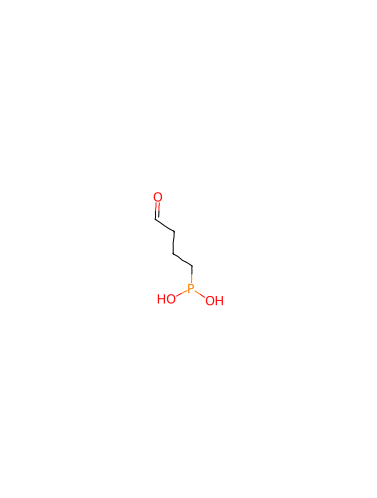 O=CCCCP(O)O